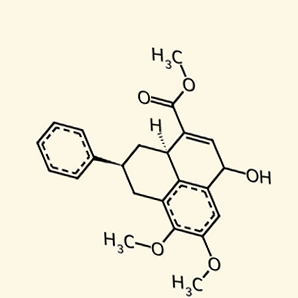 COC(=O)C1=CC(O)c2cc(OC)c(OC)c3c2[C@H]1C[C@H](c1ccccc1)C3